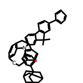 CC1(C)c2cc(-c3ccccc3)ccc2-c2ccc(N(c3ccc(C45CC6CC(CC(C6)C4)C5)cc3)c3cc4ccc3CCc3ccc(cc3)CC4)cc21